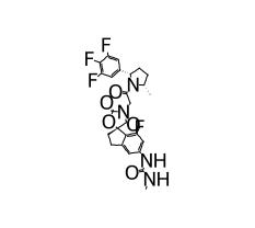 CNC(=O)Nc1cc(F)c2c(c1)CC[C@]21OC(=O)N(CC(=O)N2[C@@H](C)CC[C@H]2c2cc(F)c(F)c(F)c2)C1=O